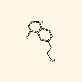 O=c1cc[nH]c2ccc(CCO)cc12